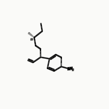 C=CC(CC[C@H](C)CC)C1=CCC(N)C=C1